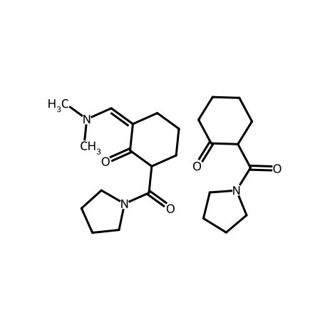 CN(C)/C=C1/CCCC(C(=O)N2CCCC2)C1=O.O=C1CCCCC1C(=O)N1CCCC1